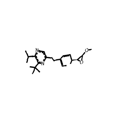 C/C=C(\C=C/C(C)[C@@H]1OC1OC)CCc1cnc(C(C)C)c(C(C)(C)C)n1